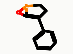 c1ccc(C2=C3OP3CC2)cc1